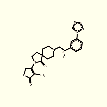 CC1=C(N2CCC3(CCN(C[C@@H](O)c4cccc(-n5cnnn5)c4)CC3)C2=O)COC1=O